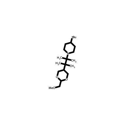 COCC1OCC(C(C)(C)C(C)(C)N2CCC(C(C)(C)C)CC2)CO1